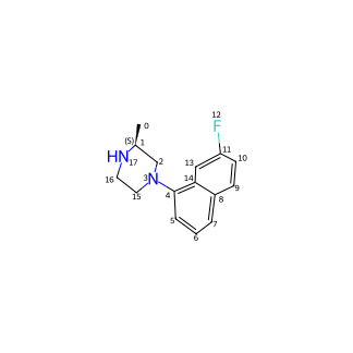 C[C@H]1CN(c2cccc3ccc(F)cc23)CCN1